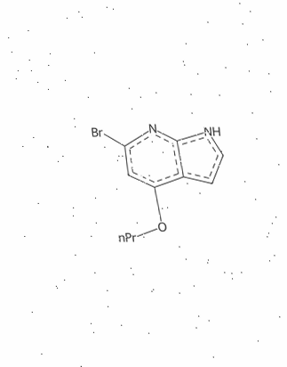 CCCOc1cc(Br)nc2[nH]ccc12